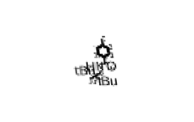 Cc1ccc(C(=O)NCC(C)(C(C)(C)C)C(C)(C)C)cc1